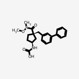 CON(C)C(=O)[C@@]1(Cc2cccc(-c3ccccc3)c2)CC[C@H](NC(=O)O)C1